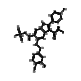 CNC(=O)c1c(-c2ccc(F)cc2)oc2cc(NCS(C)(=O)=O)c(OCc3ccc(F)c(F)c3)cc12